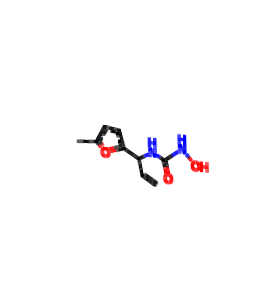 C=CC(NC(=O)NO)c1ccc(C)o1